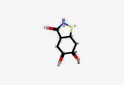 O=C1[CH]C2C(=O)NSC2CC1=O